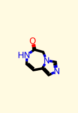 O=C1Cn2cncc2C=CN1